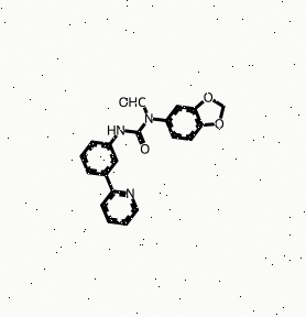 O=CN(C(=O)Nc1cccc(-c2ccccn2)c1)c1ccc2c(c1)OCO2